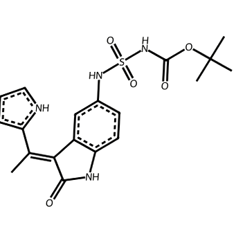 CC(=C1C(=O)Nc2ccc(NS(=O)(=O)NC(=O)OC(C)(C)C)cc21)c1ccc[nH]1